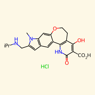 CC(C)NCc1cc2cc3c(cc2n1C)OCCc1c-3[nH]c(=O)c(C(=O)O)c1O.Cl